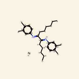 CCCCCCC(=N\c1ccc(C)c(C)c1)/C(CCCCC)=N/c1ccc(C)c(C)c1.[Ni]